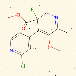 COC(=O)C1(F)CN=C(C)C(OC)=C1c1ccnc(Cl)c1